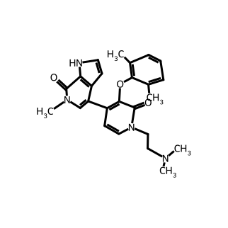 Cc1cccc(C)c1Oc1c(-c2cn(C)c(=O)c3[nH]ccc23)ccn(CCN(C)C)c1=O